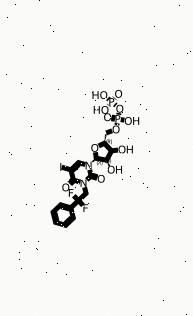 O=c1c(I)cn([C@@H]2O[C@H](COP(=O)(O)OP(=O)(O)O)C(O)[C@@H]2O)c(=O)n1CC(F)(F)c1ccccc1